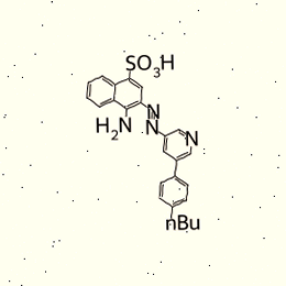 CCCCc1ccc(-c2cncc(N=Nc3cc(S(=O)(=O)O)c4ccccc4c3N)c2)cc1